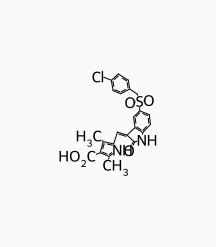 Cc1[nH]c(/C=C2\C(=O)Nc3ccc(S(=O)(=O)Cc4ccc(Cl)cc4)cc32)c(C)c1C(=O)O